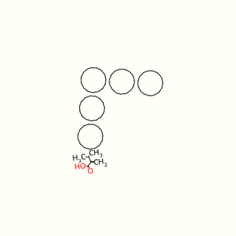 C1CCCCCCCCCCCCCC1.C1CCCCCCCCCCCCCC1.C1CCCCCCCCCCCCCC1.C1CCCCCCCCCCCCCC1.C1CCCCCCCCCCCCCC1.C=C(C(=O)O)C(C)C